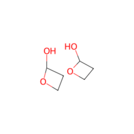 OC1CCO1.OC1CCO1